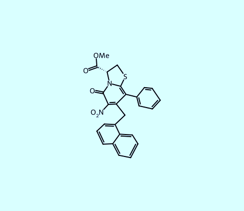 COC(=O)[C@@H]1CSc2c(-c3ccccc3)c(Cc3cccc4ccccc34)c([N+](=O)[O-])c(=O)n21